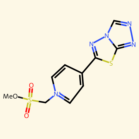 COS(=O)(=O)C[n+]1ccc(-c2nn3cnnc3s2)cc1